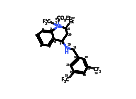 CCOC(=O)[N@+]1(C(F)(F)F)c2ccccc2C(NCc2cc(C(F)(F)F)cc(C(F)(F)F)c2)C[C@@H]1CC